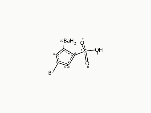 O=S(=O)(O)c1ccc(Br)s1.[BaH2]